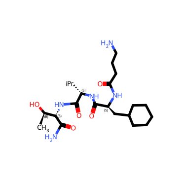 CC(C)[C@H](NC(=O)[C@H](CC1CCCCC1)NC(=O)CCCN)C(=O)N[C@H](C(N)=O)[C@@H](C)O